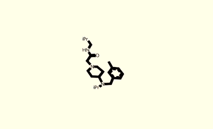 Cc1cccc(CN(C(C)C)C2CCN(CC(=O)NCC(C)C)CC2)c1